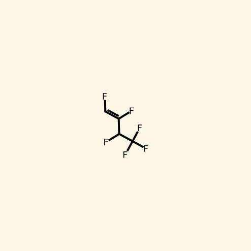 FC=C(F)C(F)C(F)(F)F